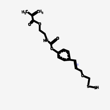 C=C(C)C(=O)OCCNC(=O)Oc1ccc(/C=C/COCSS)cc1